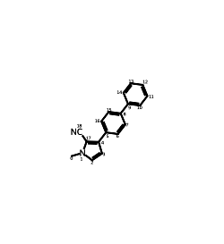 Cn1ccc(-c2ccc(-c3ccccc3)cc2)c1C#N